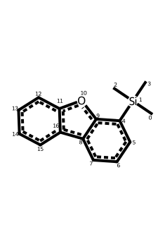 C[Si](C)(C)c1cccc2c1oc1ccccc12